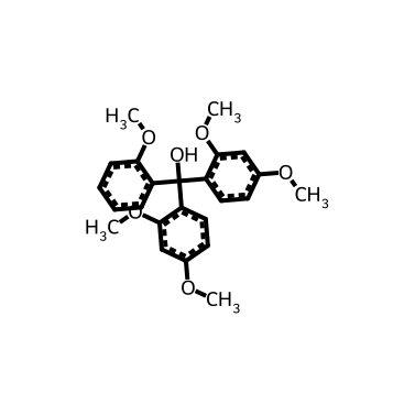 COc1ccc(C(O)(c2ccccc2OC)c2ccc(OC)cc2OC)c(OC)c1